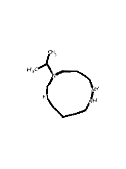 CC(C)N1CCCNNCCCCNC1